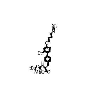 CCc1cc(OCCCCN=[N+]=[N-])ccc1-c1ccc(C[C@H](NC(=O)OC(C)(C)C)C(=O)OC)cc1